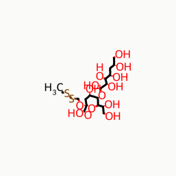 CCSSCO[C@]1(C(=O)O)C[C@@H](O)[C@@H](O[C@@H](O)[C@H](O)C(O)[C@H](O)C[C@@H](O)CO)C([C@H](O)CO)O1